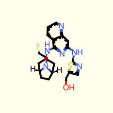 OCc1cnc(Nc2cc3ncccc3c(N[C@@H]3C[C@H]4CC[C@@H](C3)N4CCF)n2)s1